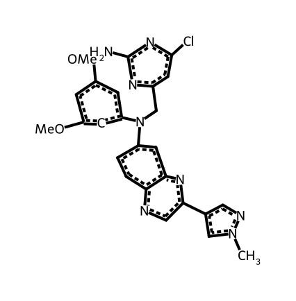 COc1cc(OC)cc(N(Cc2cc(Cl)nc(N)n2)c2ccc3ncc(-c4cnn(C)c4)nc3c2)c1